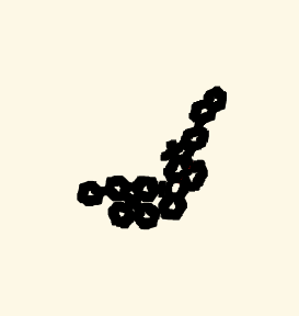 CC1(C)c2cc(-c3ccc4ccccc4c3)ccc2-c2ccc(N(c3ccc4c(c3)C(c3ccccc3)(c3ccccc3)c3cc(-c5ccccc5)ccc3-4)c3ccccc3-c3ccccc3)cc21